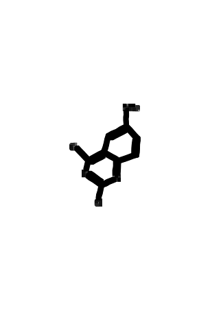 CNc1ccc2nc(Cl)nc(Cl)c2c1